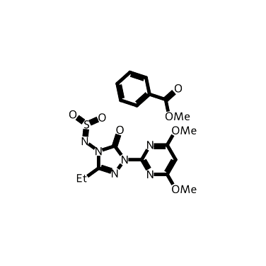 CCc1nn(-c2nc(OC)cc(OC)n2)c(=O)n1N=S(=O)=O.COC(=O)c1ccccc1